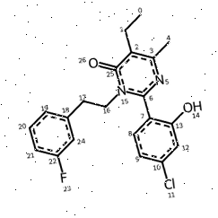 CCc1c(C)nc(-c2ccc(Cl)cc2O)n(CCc2cccc(F)c2)c1=O